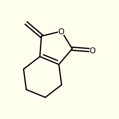 C=C1OC(=O)C2=C1CCCC2